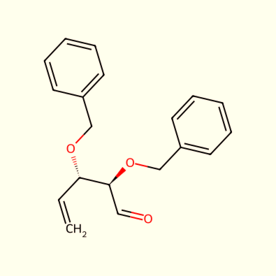 C=C[C@H](OCc1ccccc1)[C@H](C=O)OCc1ccccc1